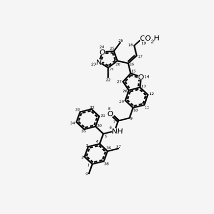 Cc1ccc(C(NC(=O)Cc2ccc3oc(C(=CCC(=O)O)c4c(C)noc4C)cc3c2)c2ccccc2)c(C)c1